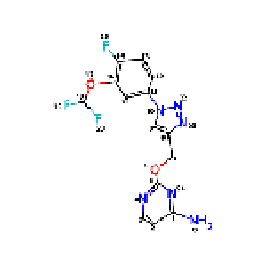 Nc1ccnc(OCc2cn(-c3ccc(F)c(OC(F)F)c3)nn2)n1